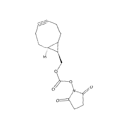 O=C(OC[C@@H]1C2CCC#CCC[C@@H]21)ON1C(=O)CCC1=O